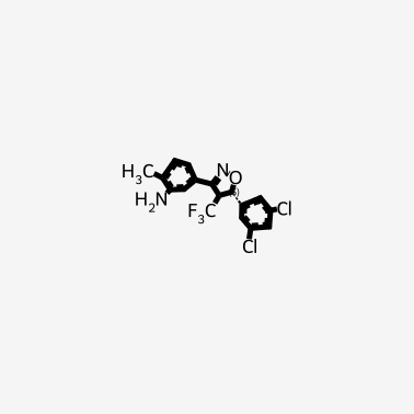 Cc1ccc(C2=NO[C@H](c3cc(Cl)cc(Cl)c3)C2C(F)(F)F)cc1N